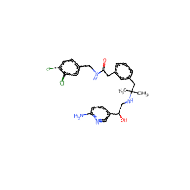 CC(C)(Cc1cccc(CC(=O)NCc2ccc(Cl)c(Cl)c2)c1)NC[C@@H](O)c1ccc(N)nc1